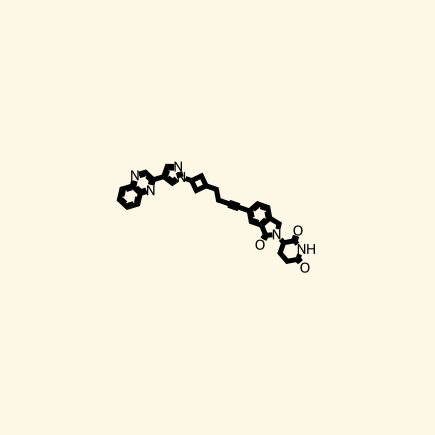 O=C1CCC(N2Cc3ccc(C#CCCC4CC(n5cc(-c6cnc7ccccc7n6)cn5)C4)cc3C2=O)C(=O)N1